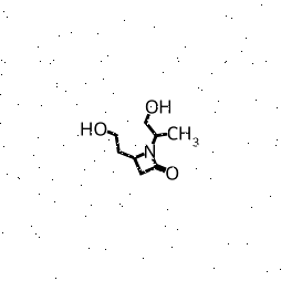 CC(CO)N1C(=O)CC1CCO